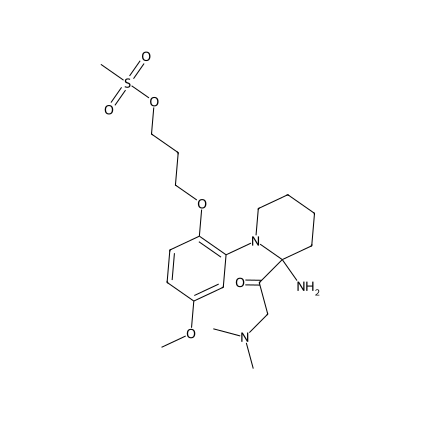 COc1ccc(OCCCOS(C)(=O)=O)c(N2CCCCC2(N)C(=O)CN(C)C)c1